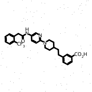 O=C(Cc1ccccc1C(F)(F)F)Nc1ccc(N2CCC(CCc3cccc(C(=O)O)c3)CC2)nc1